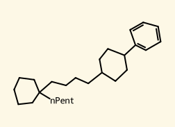 CCCCCC1(CCCCC2CCC(c3ccccc3)CC2)CCCCC1